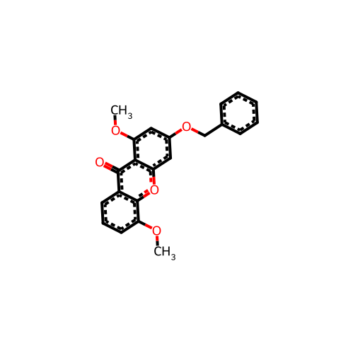 COc1cccc2c(=O)c3c(OC)cc(OCc4ccccc4)cc3oc12